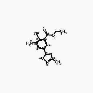 CCOC(=O)c1nc(C2CC(C)=NO2)cc(N)c1Cl